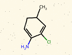 CC1C=C(Cl)C(N)=CC1